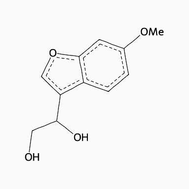 COc1ccc2c(C(O)CO)coc2c1